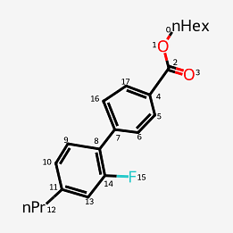 CCCCCCOC(=O)c1ccc(-c2ccc(CCC)cc2F)cc1